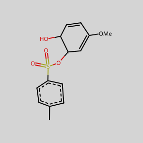 COC1=C[C](OS(=O)(=O)c2ccc(C)cc2)C(O)C=C1